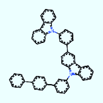 c1ccc(-c2ccc(-c3cccc(-n4c5ccccc5c5cc(-c6cccc(-n7c8ccccc8c8ccccc87)c6)ccc54)c3)cc2)cc1